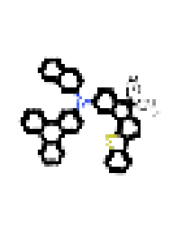 CC1(C)c2ccc(N(c3ccc4ccccc4c3)c3ccc4c5ccccc5c5ccccc5c4c3)cc2-c2c1ccc1c2sc2ccccc21